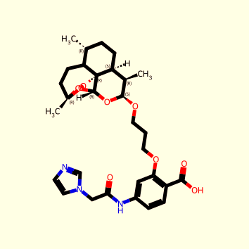 C[C@H]1[C@@H](OCCCOc2cc(NC(=O)Cn3ccnc3)ccc2C(=O)O)O[C@@H]2O[C@@]3(C)CCC4[C@H](C)CC[C@@H]1[C@]42OO3